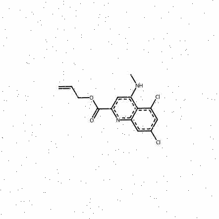 C=CCOC(=O)c1cc(NC)c2c(Cl)cc(Cl)cc2n1